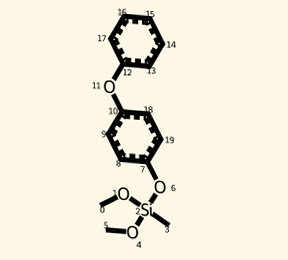 CO[Si](C)(OC)Oc1ccc(Oc2ccccc2)cc1